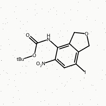 CC(C)(C)OC(=O)Nc1c([N+](=O)[O-])cc(I)c2c1COC2